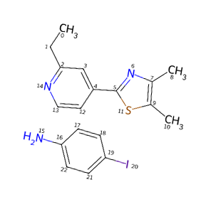 CCc1cc(-c2nc(C)c(C)s2)ccn1.Nc1ccc(I)cc1